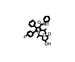 CC(C)c1c(C(=O)Nc2ccccc2)c(-c2ccccc2)c(-c2ccc(F)cc2)n1C(C)C1CC(O)CC(=O)O1